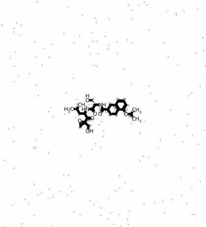 CC(C)CC(NC(=O)[C@H](CO)NC(=O)C1CCc2c(cccc2OC(C)C)C1)C(=O)C1(CO)CO1